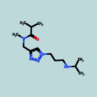 CC(C)NCCCn1cc(CN(C)C(=O)C(C)C)nn1